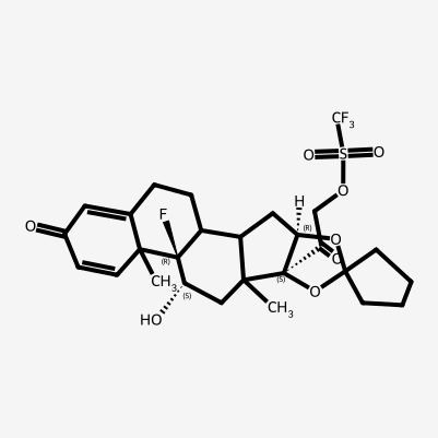 CC12C[C@H](O)[C@@]3(F)C(CCC4=CC(=O)C=CC43C)C1C[C@H]1OC3(CCCC3)O[C@]12C(=O)COS(=O)(=O)C(F)(F)F